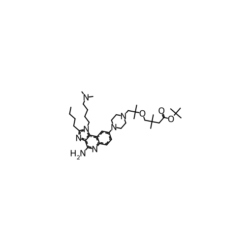 CCCCc1nc2c(N)nc3ccc(N4CCN(CC(C)(C)OCC(C)(C)CC(=O)OC(C)(C)C)CC4)cc3c2n1CCCCN(C)C